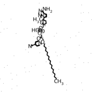 CCCCCCCCCCCCCCCCCCOC[C@H](COP(=O)(O)OC[C@@H]1CC[C@](C)(c2ccc3c(N)ncnn23)O1)Oc1cc(C#N)ccn1